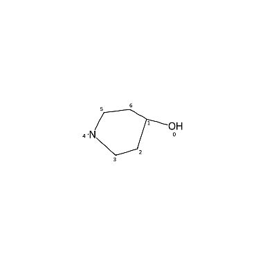 OC1CC[N]CC1